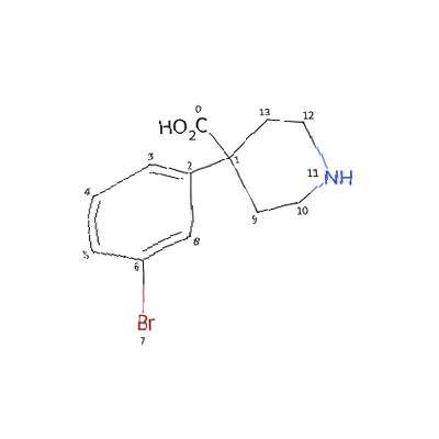 O=C(O)C1(c2cccc(Br)c2)CCNCC1